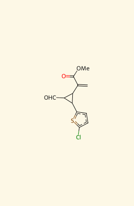 C=C(C(=O)OC)C1C(C=O)C1c1ccc(Cl)s1